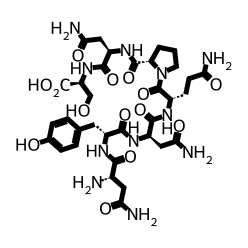 NC(=O)CC[C@H](NC(=O)[C@@H](CC(N)=O)NC(=O)[C@@H](Cc1ccc(O)cc1)NC(=O)[C@@H](N)CC(N)=O)C(=O)N1CCC[C@H]1C(=O)N[C@H](CC(N)=O)C(=O)N[C@@H](CO)C(=O)O